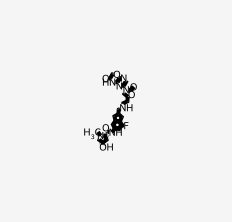 CN1C[C@H](O)C[C@H]1C(=O)Nc1cc(F)c2c(c1)CC(CNCCC1CN(c3cnc4c(n3)NC(=O)CO4)C(=O)O1)C2